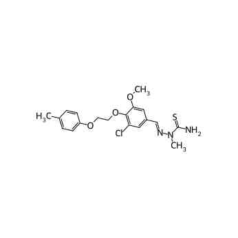 COc1cc(/C=N/N(C)C(N)=S)cc(Cl)c1OCCOc1ccc(C)cc1